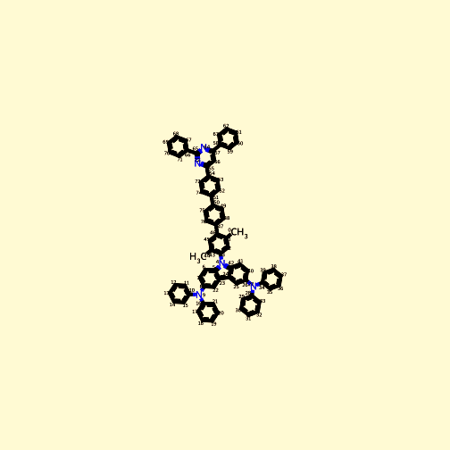 Cc1cc(-n2c3ccc(N(c4ccccc4)c4ccccc4)cc3c3cc(N(c4ccccc4)c4ccccc4)ccc32)c(C)cc1-c1ccc(-c2ccc(-c3cc(-c4ccccc4)nc(-c4ccccc4)n3)cc2)cc1